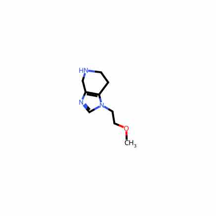 COCCn1cnc2c1CCNC2